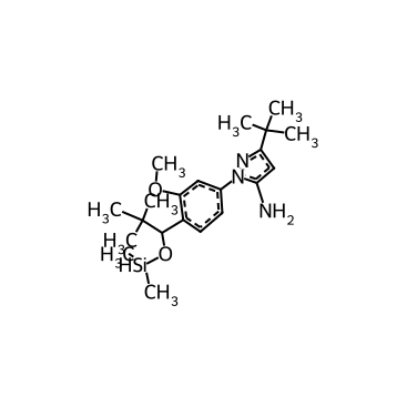 COc1cc(-n2nc(C(C)(C)C)cc2N)ccc1C(O[SiH](C)C)C(C)(C)C